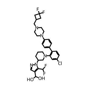 OC(O)c1cnn(C2CCCN(c3cc(Cl)ccc3-c3ccc(N4CCN(CC5CC(F)(F)C5)CC4)cc3)C2)c1C(F)F